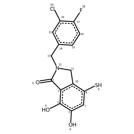 O=C1c2c(O)c(O)cc(S)c2CN1Cc1ccc(F)c(Cl)c1